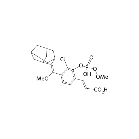 COOP(=O)(O)Oc1c(/C=C/C(=O)O)ccc(C(OC)=C2C3CC4CC(C3)CC2C4)c1Cl